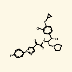 O=C(N[C@H](CN1CCCC1)[C@H](O)c1ccc(OC2CC2)c(Cl)c1)C(=O)c1cnn(-c2ccc(F)cc2)c1